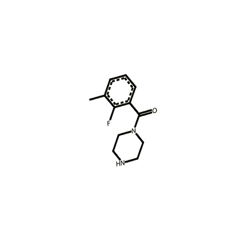 Cc1cccc(C(=O)N2CCNCC2)c1F